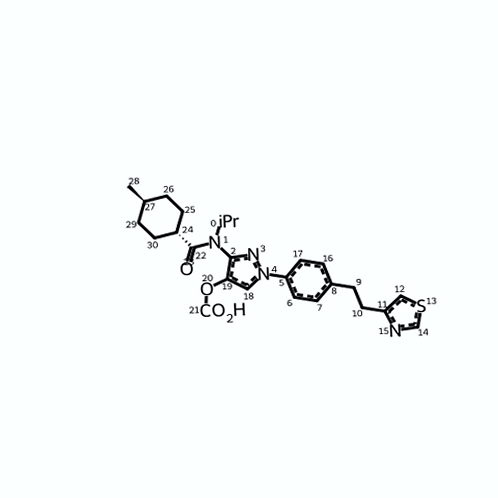 CC(C)N(c1nn(-c2ccc(CCc3cscn3)cc2)cc1OC(=O)O)C(=O)[C@H]1CC[C@H](C)CC1